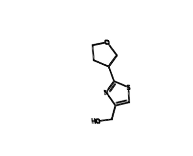 OCc1csc(C2CCOC2)n1